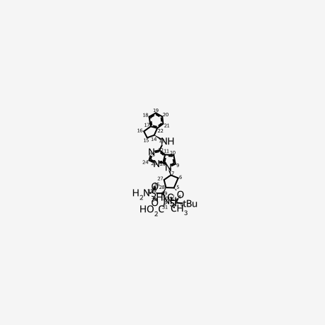 CC(C)(C)[Si](C)(C)O[C@H]1C[C@H](n2ccc3c(N[C@H]4CCc5ccccc54)ncnc32)C[C@@H]1C(NC(=O)O)S(N)(=O)=O